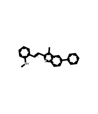 CNc1ccccc1/C=C/c1sc2ccc(-c3ccccc3)cc2c1C